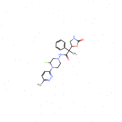 Cc1ccc(N2CCN(NC(=O)C(C)(c3ccccc3)C3CNC(=O)O3)CC2F)nn1